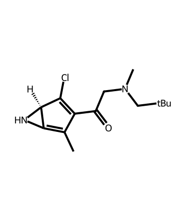 CC1=C2N[C@H]2C(Cl)=C1C(=O)CN(C)CC(C)(C)C